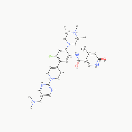 C[C@@H]1CN(c2cc(F)c(C3=CCN(c4ncc(CN(C)C)cn4)CC3)cc2NC(=O)c2c[nH]c(=O)cc2C(F)(F)F)C[C@H](C)N1C